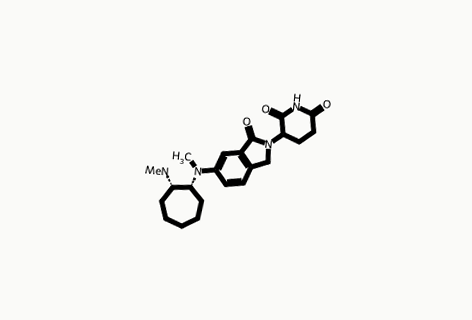 CN[C@H]1CCCCC[C@H]1N(C)c1ccc2c(c1)C(=O)N(C1CCC(=O)NC1=O)C2